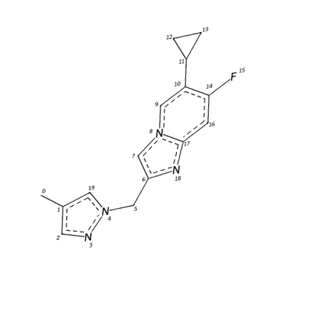 Cc1cnn(Cc2cn3cc(C4CC4)c(F)cc3n2)c1